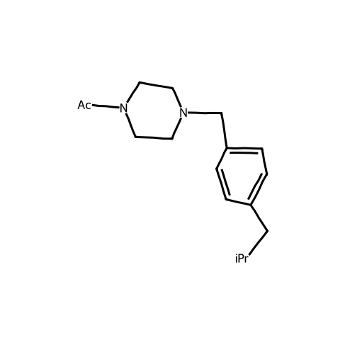 CC(=O)N1CCN(Cc2ccc(CC(C)C)cc2)CC1